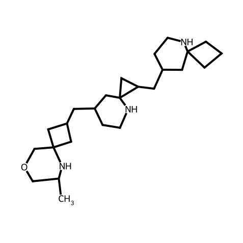 CC1COCC2(CC(CC3CCNC4(C3)CC4CC3CCNC4(CCC4)C3)C2)N1